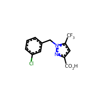 O=C(O)c1cc(C(F)(F)F)n(Cc2cccc(Cl)c2)n1